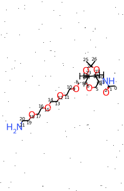 CC(=O)N[C@@H]1CO[C@H](COCCOCCOCCOCCN)[C@@H]2OC(C)(C)O[C@@H]21